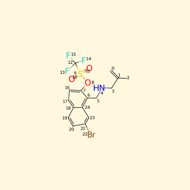 C=C(C)CNCc1c(OS(=O)(=O)C(F)(F)F)ccc2ccc(Br)cc12